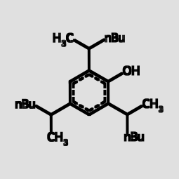 CCCCC(C)c1cc(C(C)CCCC)c(O)c(C(C)CCCC)c1